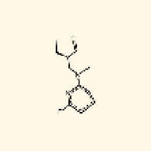 CC[C@@H](C=O)CN(C)c1cccc(F)n1